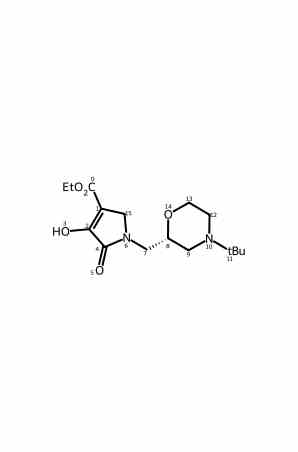 CCOC(=O)C1=C(O)C(=O)N(C[C@H]2CN(C(C)(C)C)CCO2)C1